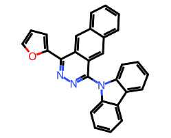 c1coc(-c2nnc(-n3c4ccccc4c4ccccc43)c3cc4ccccc4cc23)c1